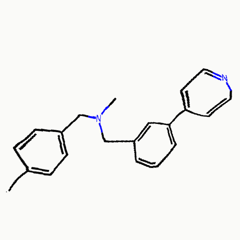 [CH2]c1ccc(CN(C)Cc2cccc(-c3ccncc3)c2)cc1